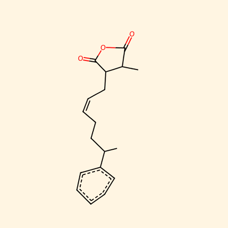 CC(CC/C=C\CC1C(=O)OC(=O)C1C)c1ccccc1